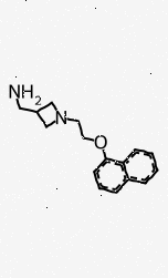 NCC1CN(CCOc2cccc3ccccc23)C1